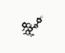 CCc1cccc(CC)c1-n1c(CC(C)C)c(C(=O)NC)cc(-c2nc(-c3ccc(Cl)cc3)cs2)c1=O